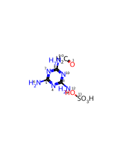 C=O.Nc1nc(N)nc(N)n1.O=S(=O)(O)O